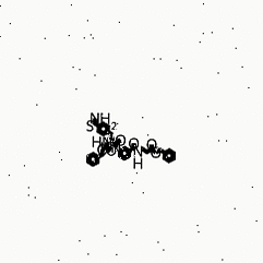 NC(=S)c1ccc(C[C@H](NC(=O)OCc2ccccc2)C(=O)Nc2cccc(C(=O)NCCC(=O)OCc3ccccc3)c2)cc1